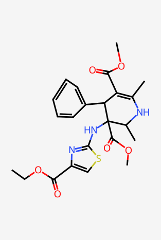 CCOC(=O)c1csc(NC2(C(=O)OC)C(C)NC(C)=C(C(=O)OC)C2c2ccccc2)n1